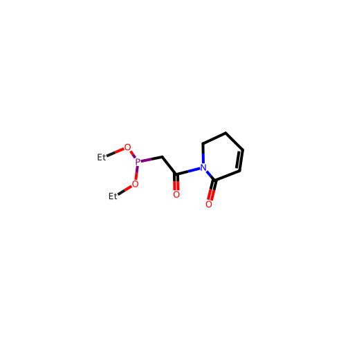 CCOP(CC(=O)N1CCC=CC1=O)OCC